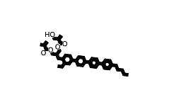 C=C(C)C(=O)OCC(COC(=O)C(=C)CO)CC1CCC(C2CCC(c3ccc(-c4ccc(CCCCC)cc4)cc3)CC2)CC1CC